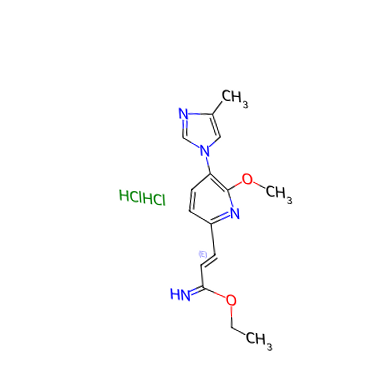 CCOC(=N)/C=C/c1ccc(-n2cnc(C)c2)c(OC)n1.Cl.Cl